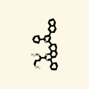 C=N/C(=C\C=C/C)c1nc(-c2ccccc2)c2ccc3ccc(-c4cc(-c5ccc6ccccc6c5)cc(-c5ccccc5)n4)cc3c2n1